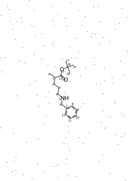 CC(CCCNCc1ccccc1)C(=O)OC(C)(C)C